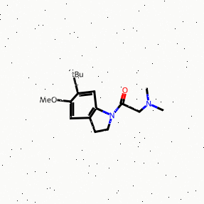 COc1cc2c(cc1C(C)(C)C)N(C(=O)CN(C)C)CC2